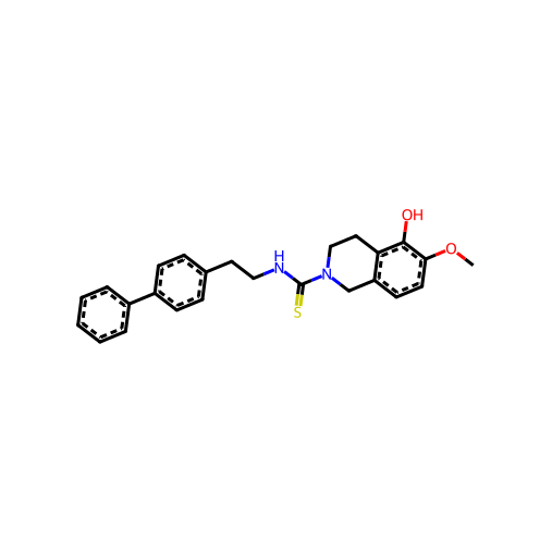 COc1ccc2c(c1O)CCN(C(=S)NCCc1ccc(-c3ccccc3)cc1)C2